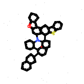 c1ccc(-c2ccccc2N(c2ccc3c(c2)oc2ccccc23)c2ccccc2-c2cccc3c2sc2ccccc23)c(-c2ccc3ccccc3c2)c1